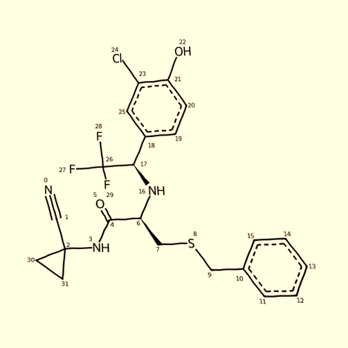 N#CC1(NC(=O)[C@H](CSCc2ccccc2)N[C@H](c2ccc(O)c(Cl)c2)C(F)(F)F)CC1